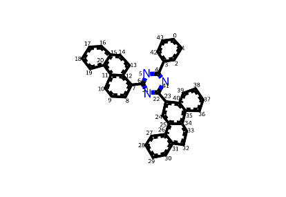 c1ccc(-c2nc(-c3cccc4c3ccc3ccccc34)nc(-c3cc4c5ccccc5ccc4c4ccccc34)n2)cc1